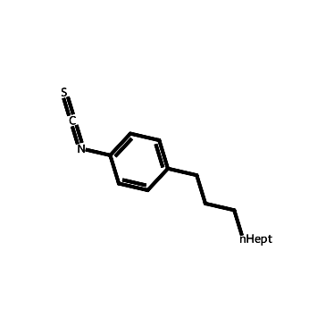 CCCCCCCCCCc1ccc(N=C=S)cc1